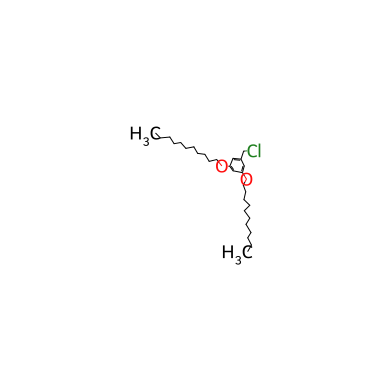 CCCCCCCCCCCOc1cc(CCl)cc(OCCCCCCCCCCC)c1